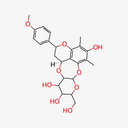 COc1ccc(C2C[C@@H]3OC4C(Oc5c(C)c(O)c(C)c(c53)O2)OC(CO)C(O)C4O)cc1